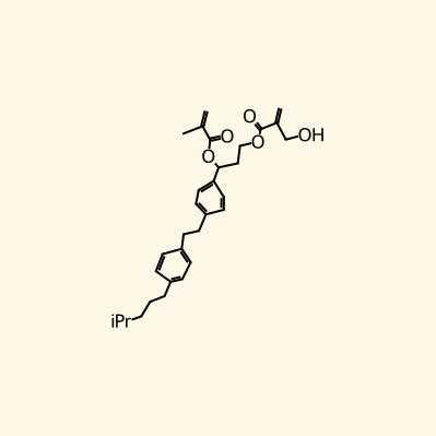 C=C(C)C(=O)OC(CCOC(=O)C(=C)CO)c1ccc(CCc2ccc(CCCC(C)C)cc2)cc1